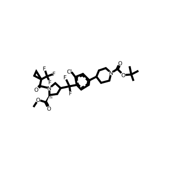 COC(=O)[C@@H]1CC(C(F)(F)c2ccc(C3CCN(C(=O)OC(C)(C)C)CC3)cc2Cl)CN1C(=O)C1(C(F)(F)F)CC1